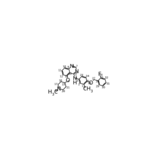 Cc1cc(Nc2ncnc3cccc(OC4CCN(C)CC4)c23)ccc1OCc1ccccc1F